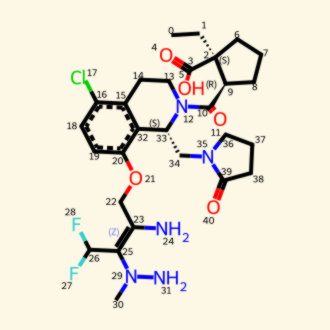 CC[C@]1(C(=O)O)CCC[C@H]1C(=O)N1CCc2c(Cl)ccc(OC/C(N)=C(\C(F)F)N(C)N)c2[C@H]1CN1CCCC1=O